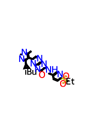 CC[C@H](C)n1c(=O)c(NCc2ccc(S(=O)(=O)CC)nc2)nc2ncc(-c3c(C)ncnc3C3CC3)nc21